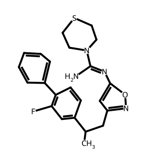 CC(Cc1cc(N=C(N)N2CCSCC2)on1)c1ccc(-c2ccccc2)c(F)c1